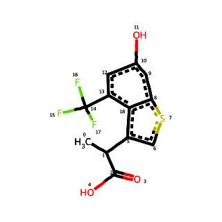 CC(C(=O)O)c1csc2cc(O)cc(C(F)(F)F)c12